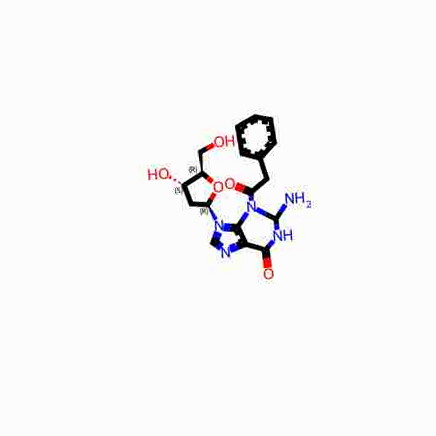 NC1NC(=O)c2ncn([C@H]3C[C@H](O)[C@@H](CO)O3)c2N1C(=O)Cc1ccccc1